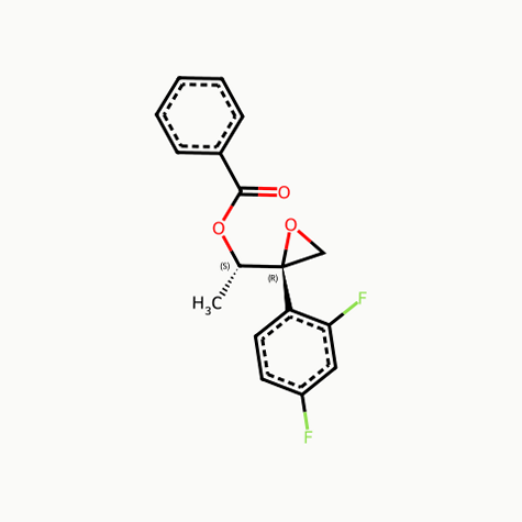 C[C@H](OC(=O)c1ccccc1)[C@@]1(c2ccc(F)cc2F)CO1